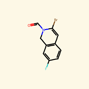 O=CN1Cc2cc(F)ccc2C=C1Br